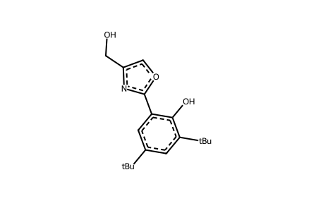 CC(C)(C)c1cc(-c2nc(CO)co2)c(O)c(C(C)(C)C)c1